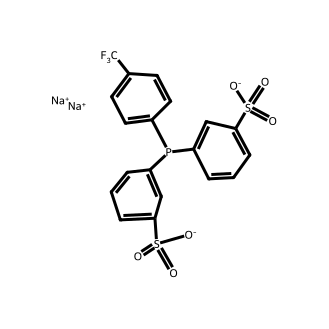 O=S(=O)([O-])c1cccc(P(c2ccc(C(F)(F)F)cc2)c2cccc(S(=O)(=O)[O-])c2)c1.[Na+].[Na+]